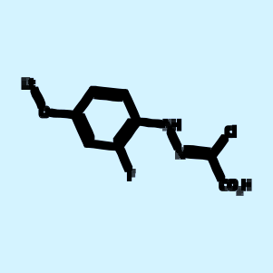 CCOc1ccc(NN=C(Cl)C(=O)O)c(F)c1